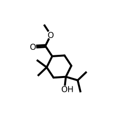 COC(=O)C1CCC(O)(C(C)C)CC1(C)C